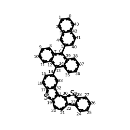 c1ccc2cc(-c3c4ccccc4c(-c4ccc5sc6ccc7c8ccccc8sc7c6c5c4)c4ccccc34)ccc2c1